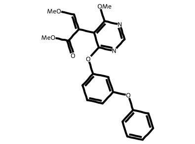 COC=C(C(=O)OC)c1c(OC)ncnc1Oc1cccc(Oc2ccccc2)c1